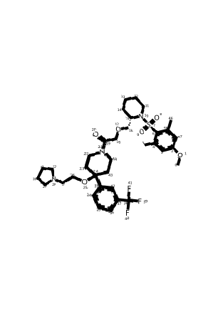 COc1cc(C)c(S(=O)(=O)N2CCCC[C@H]2COCC(=O)N2CCC(OCCN3CCCC3)(c3cccc(C(F)(F)F)c3)CC2)c(C)c1